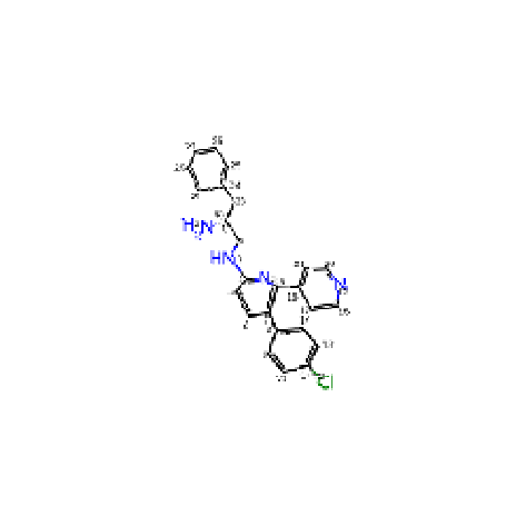 N[C@@H](CNc1ccc(-c2ccc(Cl)cc2)c(-c2ccncc2)n1)Cc1ccccc1